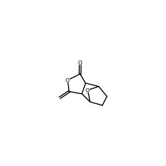 C=C1OC(=O)C2C3CCC(O3)C12